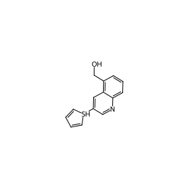 OCc1cccc2ncc([SH]3C=CC=C3)cc12